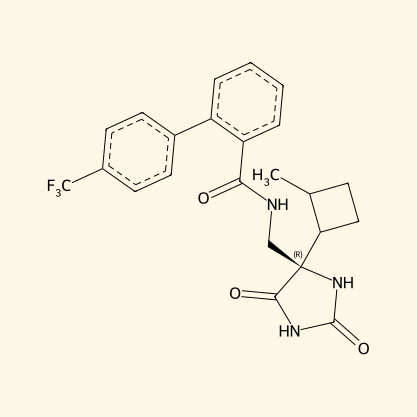 CC1CCC1[C@]1(CNC(=O)c2ccccc2-c2ccc(C(F)(F)F)cc2)NC(=O)NC1=O